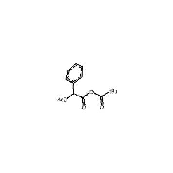 COC(C(=O)OC(=O)C(C)(C)C)c1ccccc1